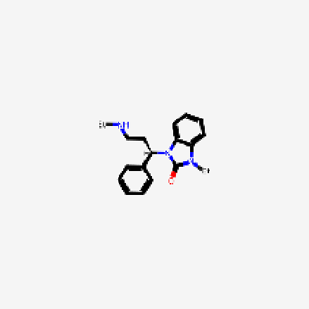 CCNCC[C@H](c1ccccc1)n1c(=O)n(CC)c2ccccc21